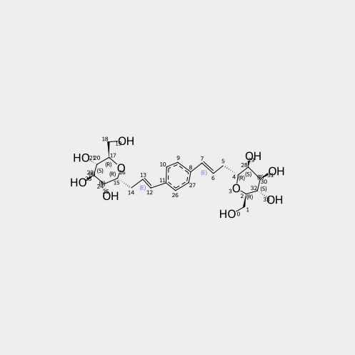 OC[C@H]1O[C@H](C/C=C/c2ccc(/C=C/C[C@H]3O[C@H](CO)[C@@H](O)[C@H](O)[C@H]3O)cc2)[C@@H](O)[C@@H](O)[C@@H]1O